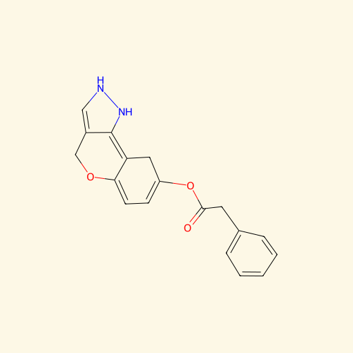 O=C(Cc1ccccc1)OC1=CC=C2OCC3=CNNC3=C2C1